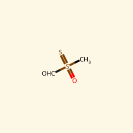 CS(=O)(=S)C=O